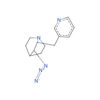 [N-]=[N+]=NC1C2CCN(CC2)C1Cc1cccnc1